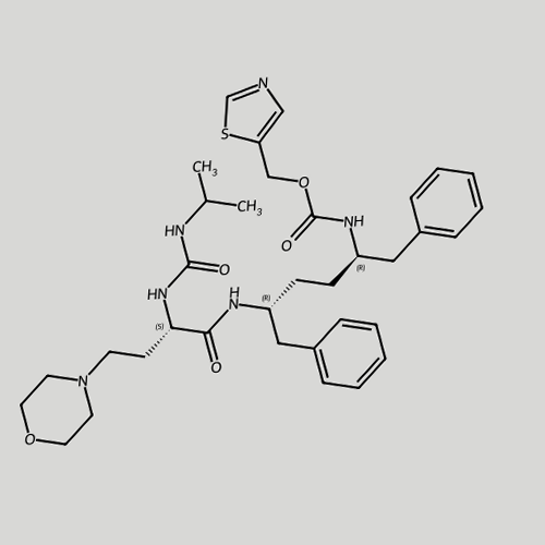 CC(C)NC(=O)N[C@@H](CCN1CCOCC1)C(=O)N[C@H](CC[C@H](Cc1ccccc1)NC(=O)OCc1cncs1)Cc1ccccc1